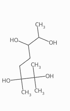 CC(O)C(O)CCC(C)(O)C(C)(C)O